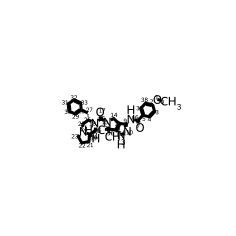 COc1ccc(C(=O)Nc2n[nH]c3c2CN(C(=O)N2C[C@@H]4CCCN4C[C@@H]2Cc2ccccc2)C3(C)C)cc1